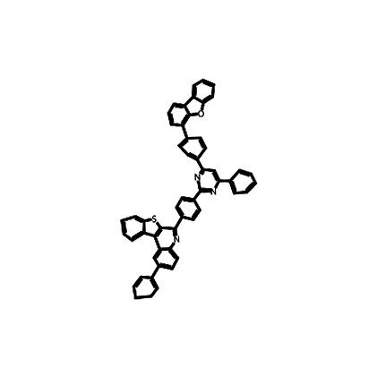 C1=CC(c2ccc3nc(-c4ccc(-c5nc(-c6ccccc6)cc(-c6ccc(-c7cccc8c7oc7ccccc78)cc6)n5)cc4)c4sc5ccccc5c4c3c2)=CCC1